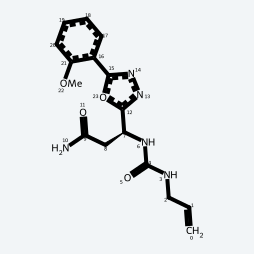 C=CCNC(=O)N[C@@H](CC(N)=O)c1nnc(-c2ccccc2OC)o1